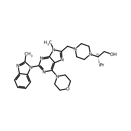 Cc1nc2ccccc2n1-c1nc(N2CCOCC2)c2nc(CN3CCN([C@H](CO)C(C)C)CC3)n(C)c2n1